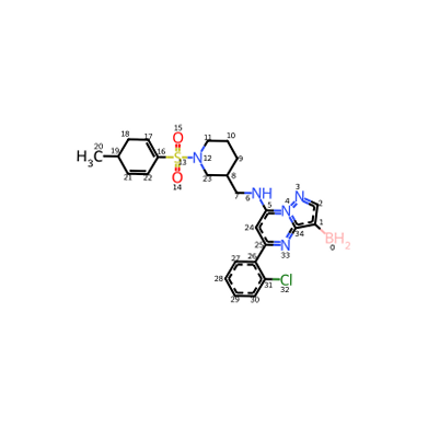 Bc1cnn2c(NCC3CCCN(S(=O)(=O)C4=CCC(C)C=C4)C3)cc(-c3ccccc3Cl)nc12